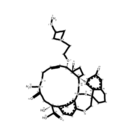 COC1CN(CCO[C@H]2C=CCCN(C)C(=O)C[C@](O)(C(=O)O)c3ccc4c(c3)N(C[C@@H]3CC[C@H]32)C[C@@]2(CCCc3cc(Cl)ccc32)CO4)C1